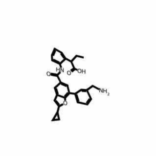 CCC(C(=O)O)c1ccccc1NC(=O)c1cc(-c2cccc(CN)c2)c2oc(C3CC3)cc2c1